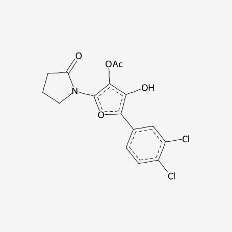 CC(=O)Oc1c(N2CCCC2=O)oc(-c2ccc(Cl)c(Cl)c2)c1O